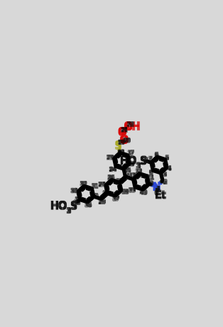 CCN(Cc1cccc(S(=O)(=O)O)c1)c1ccc(C(c2ccc(SOOO)cc2)=c2ccc(=Cc3cccc(S(=O)(=O)O)c3)cc2)cc1